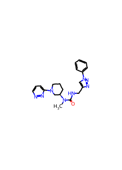 CN(C(=O)NCc1cn(-c2ccccc2)nn1)[C@@H]1CCCN(c2cccnn2)C1